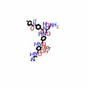 C/C(=C\N(C)C)NC(=O)c1ccc(NC(=O)c2ccc(NC(=O)C(CC(N)=O)NC(=O)c3ccc(NC(=O)c4ccc(C)cc4)cc3)cc2)c(OC(C)C)c1O